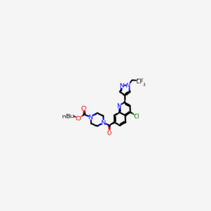 CCCCOC(=O)N1CCN(C(=O)c2ccc3c(Cl)cc(-c4cnn(CC(F)(F)F)c4)nc3c2)CC1